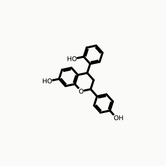 Oc1ccc(C2CC(c3ccccc3O)c3ccc(O)cc3O2)cc1